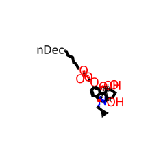 CCCCCCCCCCCCCCCCOC(=O)OCOC1=C2O[C@@]3(O)C(=O)CC[C@@]4(O)C5CC(C=C1)C2[C@@]34CCN5CC1CC1